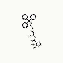 CC(C)[C@@]1(S)SCCN1C(=O)C[C@H](O)/C=C/CCSC(c1ccccc1)(c1ccccc1)c1ccccc1